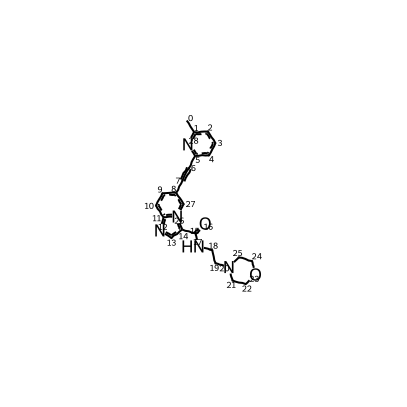 Cc1cccc(C#Cc2ccc3ncc(C(=O)NCCN4CCOCC4)n3c2)n1